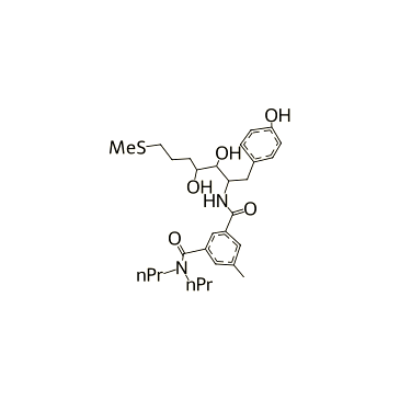 CCCN(CCC)C(=O)c1cc(C)cc(C(=O)NC(Cc2ccc(O)cc2)C(O)C(O)CCCSC)c1